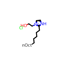 CCCCCCCCCCCCCc1[nH]cc[n+]1CCO.[Cl-]